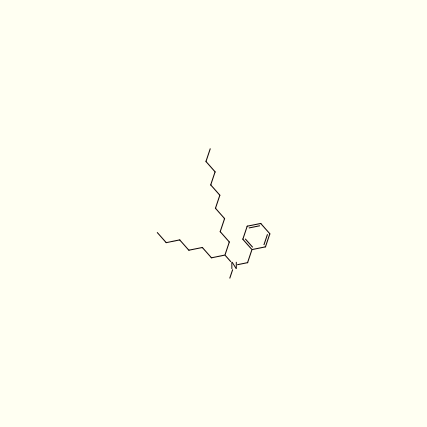 CCCCCCCCCC(CCCCCC)N(C)Cc1ccccc1